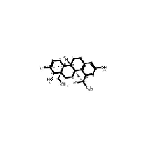 CC[C@]12CC[C@@H]3c4c(cc(O)cc4C(C)F)CC[C@H]3[C@@H]1CC=C(Cl)[C@H]2O